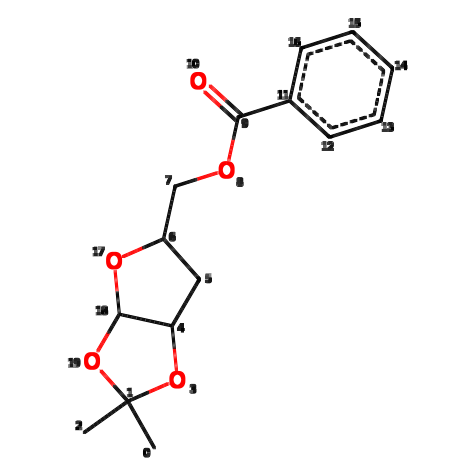 CC1(C)OC2CC(COC(=O)c3ccccc3)OC2O1